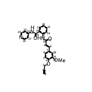 C#CCOc1ccc(/C=C/C(=O)Nc2ccccc2C(=O)Nc2ccncc2)cc1OC